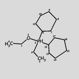 CCO[PH](CC)(C1CCCCC1)C1CCCCC1